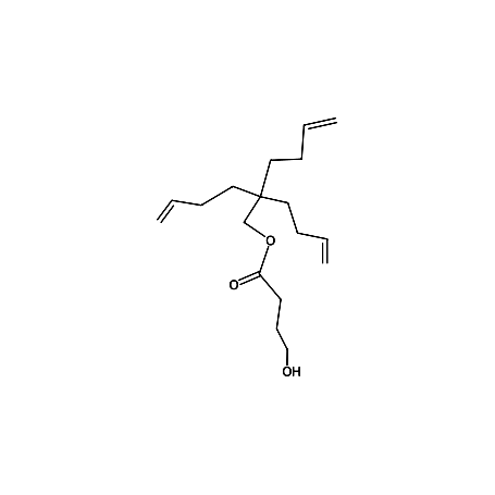 C=CCCC(CCC=C)(CCC=C)COC(=O)CCCO